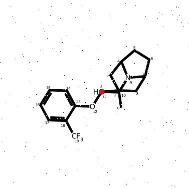 CC1(O)CC2CCC(C1)N2CCOc1ccccc1C(F)(F)F